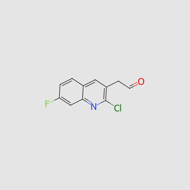 O=CCc1cc2ccc(F)cc2nc1Cl